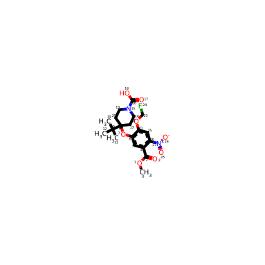 COC(=O)c1cc(OC2(C(C)(C)C)CCN(C(=O)O)CC2)c(OCF)cc1[N+](=O)[O-]